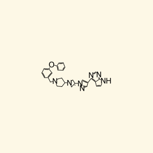 c1ccc(Oc2cccc(CN3CCC(N4C[C](n5cc(-c6ncnc7[nH]ccc67)cn5)C4)CC3)c2)cc1